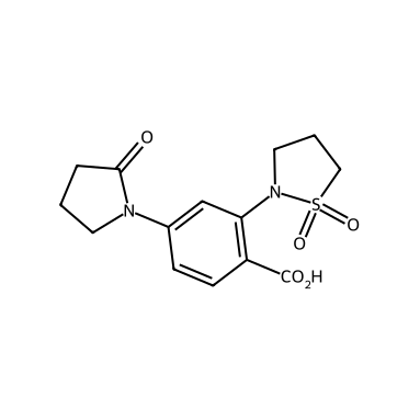 O=C(O)c1ccc(N2CCCC2=O)cc1N1CCCS1(=O)=O